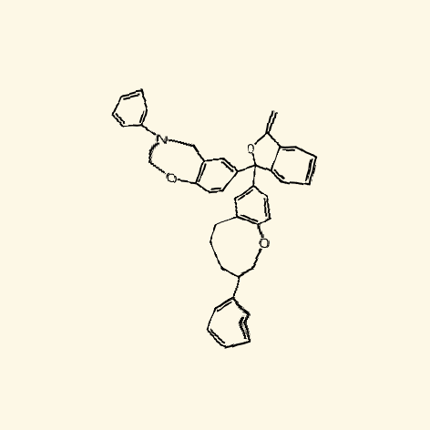 C=C1OC(c2ccc3c(c2)CCCC(c2ccccc2)CO3)(c2ccc3c(c2)CN(c2ccccc2)CO3)c2ccccc21